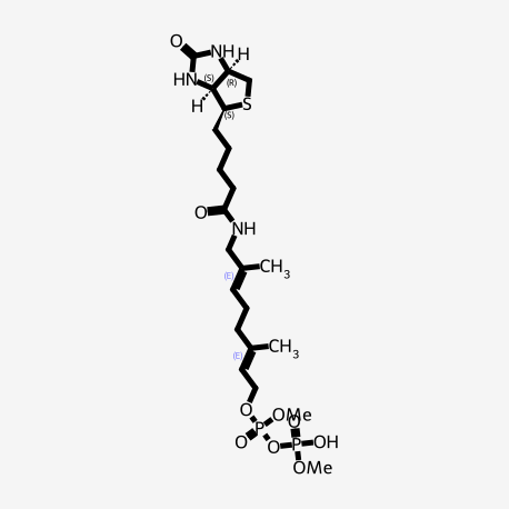 COP(=O)(O)OP(=O)(OC)OC/C=C(\C)CC/C=C(\C)CNC(=O)CCCC[C@@H]1SC[C@@H]2NC(=O)N[C@@H]21